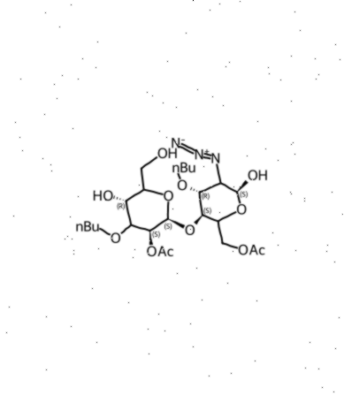 CCCCOC1[C@H](O)C(CO)O[C@@H](O[C@@H]2C(COC(C)=O)O[C@H](O)C(N=[N+]=[N-])[C@H]2OCCCC)[C@H]1OC(C)=O